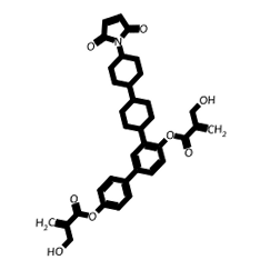 C=C(CO)C(=O)Oc1ccc(-c2ccc(OC(=O)C(=C)CO)c(C3CCC(C4CCC(N5C(=O)C=CC5=O)CC4)CC3)c2)cc1